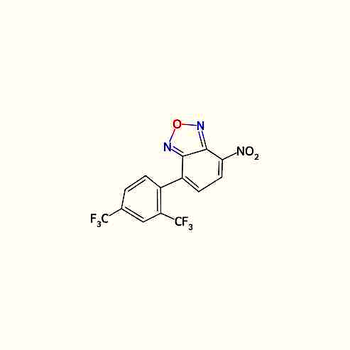 O=[N+]([O-])c1ccc(-c2ccc(C(F)(F)F)cc2C(F)(F)F)c2nonc12